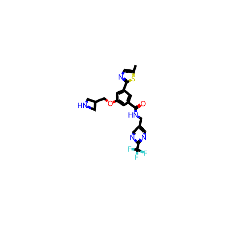 Cc1cnc(-c2cc(OCC3CNC3)cc(C(=O)NCc3cnc(C(F)(F)F)nc3)c2)s1